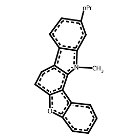 CCCc1ccc2c3ccc4oc5ccccc5c4c3n(C)c2c1